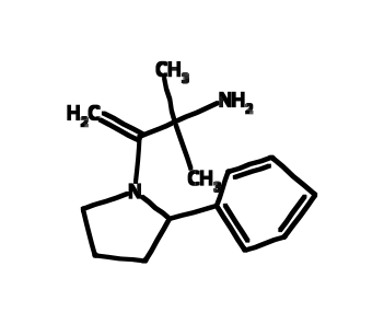 C=C(N1CCCC1c1ccccc1)C(C)(C)N